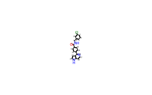 O=C(NCc1cccc(Cl)c1)c1ccc(-c2nccc3[nH]ccc23)cc1